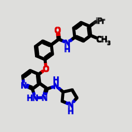 Cc1cc(NC(=O)c2cccc(Oc3ccnc4[nH]nc(NC5CCNC5)c34)c2)ccc1C(C)C